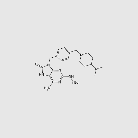 CCCCNc1nc(N)c2[nH]c(=O)n(Cc3ccc(CN4CCC(N(C)C)CC4)cc3)c2n1